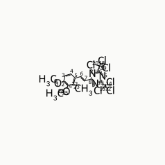 COc1ccc(C=Cc2nc(C(Cl)(Cl)Cl)nc(C(Cl)(Cl)Cl)n2)c(C)c1OC